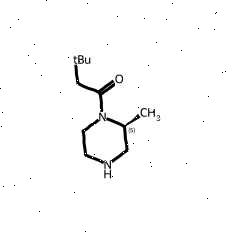 C[C@H]1CNCCN1C(=O)CC(C)(C)C